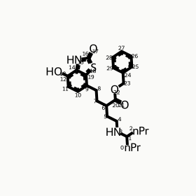 CCCC(CCC)NCCC(CCc1ccc(O)c2[nH]c(=O)sc12)C(=O)OCc1ccccc1